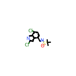 CC(C)(C)[S@@+]([O-])/N=C/c1ccc(Cl)c2cnc(Cl)cc12